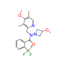 COc1c(C)cnc(CN(C(=O)c2ccccc2C(F)(F)F)N2CC(OC)C2)c1C